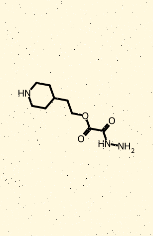 NNC(=O)C(=O)OCCC1CCNCC1